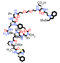 CC[C@H](C)[C@@H]([C@@H](CC(=O)N1CCC[C@H]1[C@H](OC)[C@@H](C)C(=O)N[C@@H](Cc1ccccc1)c1nccs1)OC)N(C)C(=O)[C@@H](NC(=O)[C@H](C(C)C)N(C)C(=O)OCc1ccc(NC(=O)[C@H](CCCNC(N)=O)NC(=O)[C@@H](NC(=O)CCOCCOCCNC(=O)[C@H](CCC(=O)O)NC(=O)CCn2c(CNC)cc3ccccc32)C(C)C)cc1)C(C)C